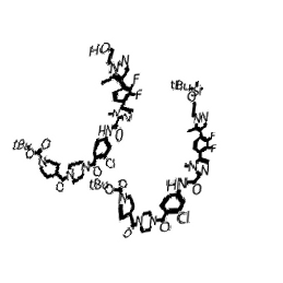 Cc1c(-c2ccc(-c3cnc(C(=O)Nc4ccc(C(=O)N5CCN(C(=O)C6CCN(C(=O)OC(C)(C)C)CC6)CC5)c(Cl)c4)n3C)c(F)c2F)cnn1CCO.Cc1c(-c2ccc(-c3cnc(C(=O)Nc4ccc(C(=O)N5CCN(C(=O)C6CCN(C(=O)OC(C)(C)C)CC6)CC5)c(Cl)c4)n3C)c(F)c2F)cnn1CCO[Si](C)(C)C(C)(C)C